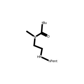 CCCCCNCCN(C)C(=O)C(C)(C)C